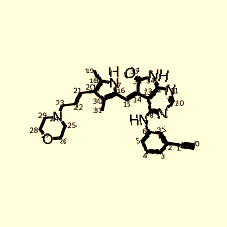 C#Cc1cccc(Nc2ncnc3c2/C(=C/c2[nH]c(C)c(CCCN4CCOCC4)c2C)C(=O)N3)c1